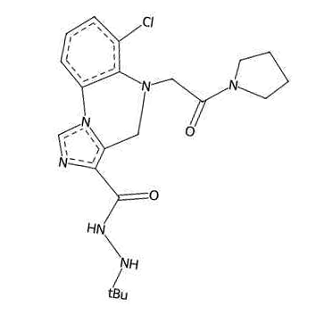 CC(C)(C)NNC(=O)c1ncn2c1CN(CC(=O)N1CCCC1)c1c(Cl)cccc1-2